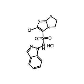 Cl.O=S(=O)(Nn1ncc2ccccc21)c1c(Cl)nc2n1CCS2